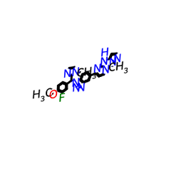 COc1ccc(C(c2nccn2C)n2nnc3cc(-c4ccnc(Nc5ccnn5C)n4)ccc32)cc1F